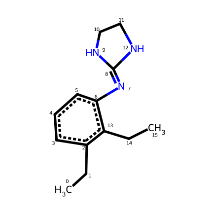 CCc1cccc(N=C2NCCN2)c1CC